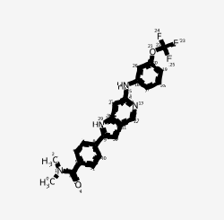 CN(C)C(=O)c1ccc(-c2cc3cnc(Nc4cccc(OC(F)(F)F)c4)cc3[nH]2)cc1